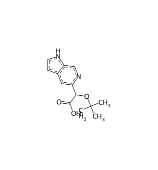 CC(C)(C)OC(C(=O)O)c1cc2cc[nH]c2cn1